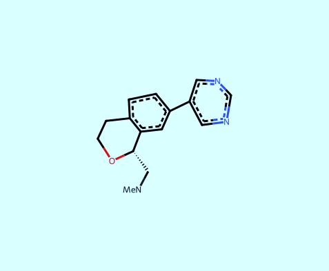 CNC[C@@H]1OCCc2ccc(-c3cncnc3)cc21